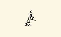 CCOOP(=O)(Cc1ccc(S(C)(=O)=O)cc1)OOCC